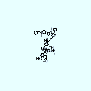 CC(C)(C)[Si](C)(C)O[C@@H](CNCc1ccc2c(c1)nnn2CC=Cc1ccc(-c2ccccc2)c(NC(=O)O[C@H]2CC[C@H](NCc3ccccc3)CC2)c1)c1ccc(O)c2[nH]c(=O)ccc12